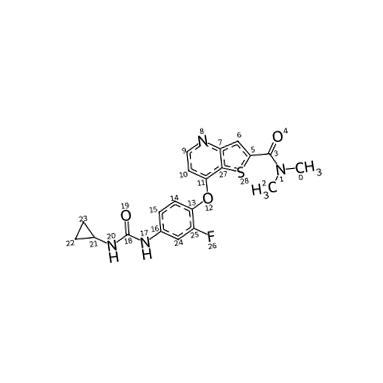 CN(C)C(=O)c1cc2nccc(Oc3ccc(NC(=O)NC4CC4)cc3F)c2s1